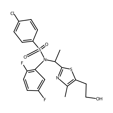 Cc1nc(C(C)N(c2cc(F)ccc2F)S(=O)(=O)c2ccc(Cl)cc2)sc1CCO